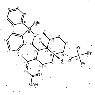 COC(=O)/C=C(/C)C1[C@@H](CO[Si](c2ccccc2)(c2ccccc2)C(C)(C)C)[C@H]2[C@@H](C[C@@H]1C)[C@@H](O[Si](C(C)C)(C(C)C)C(C)C)CC[C@@H]2C